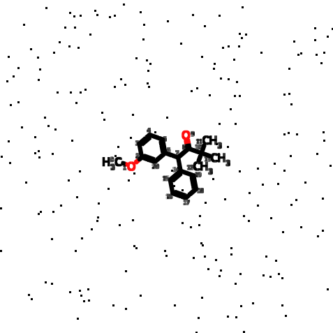 COc1cccc(C(C(=O)C(C)(C)C)c2ccccc2)c1